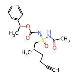 C#CCC[C@H](C)C[S@@](=O)(=NC(=O)O[C@@H](C)c1ccccc1)NC(C)=O